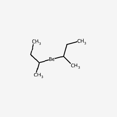 CC[CH](C)[Be][CH](C)CC